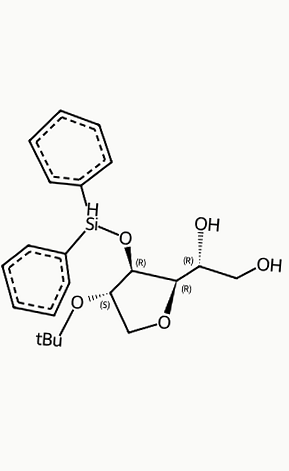 CC(C)(C)O[C@H]1CO[C@H]([C@H](O)CO)[C@@H]1O[SiH](c1ccccc1)c1ccccc1